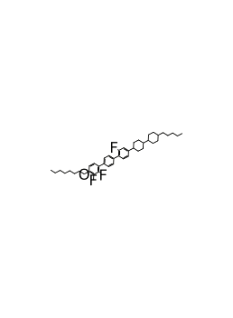 CCCCCCCOc1ccc(-c2ccc(-c3ccc(C4CCC(C5CCC(CCCCC)CC5)CC4)cc3F)cc2)c(F)c1F